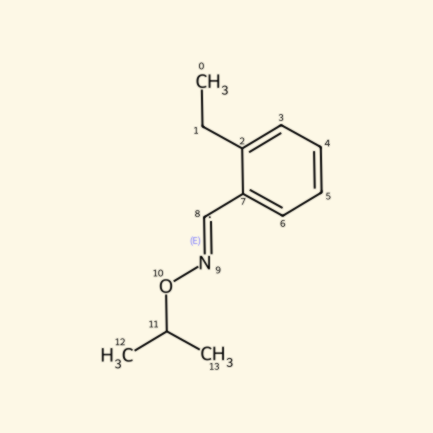 CCc1ccccc1/[C]=N/OC(C)C